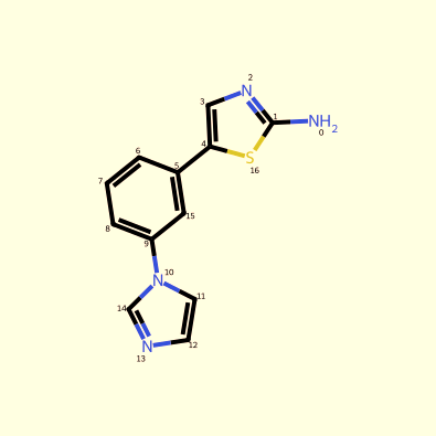 Nc1ncc(-c2cccc(-n3ccnc3)c2)s1